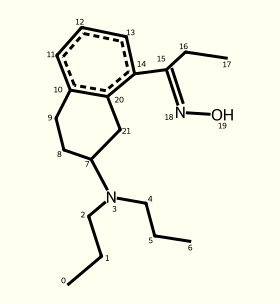 CCCN(CCC)C1CCc2cccc(C(CC)=NO)c2C1